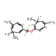 CC1=CC(C)(C)C=C(C(F)(F)OC2=CC(C)(I)C=C(C)C=C2)C=C1